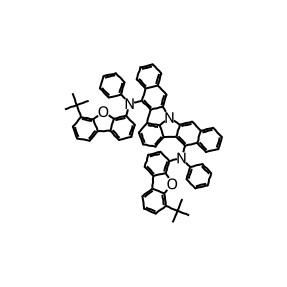 CC(C)(C)c1cccc2c1oc1c(N(c3ccccc3)c3c4ccccc4cc4c3c3cccc5c6c(N(c7ccccc7)c7cccc8c7oc7c(C(C)(C)C)cccc78)c7ccccc7cc6n4c35)cccc12